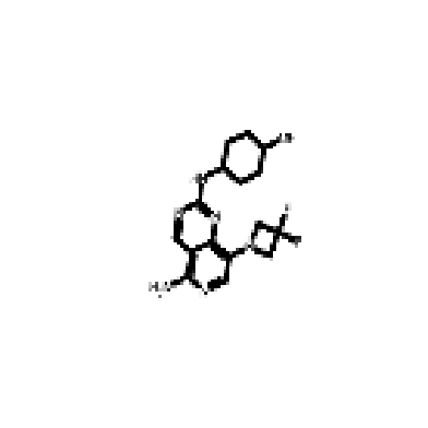 Nc1ncc(N2CC(F)(F)C2)c2nc(NC3CCC(O)CC3)ncc12